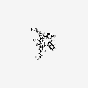 C[C@H](NC(=O)[C@@H](N)CCCCN)C(=O)N[C@@H](CCCCN)C(=O)N[C@@H](Cc1c[nH]c2ccccc12)C(=O)O